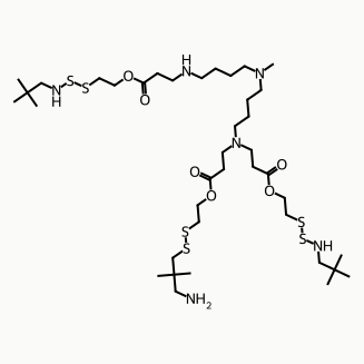 CN(CCCCNCCC(=O)OCCSSNCC(C)(C)C)CCCCN(CCC(=O)OCCSSCC(C)(C)CN)CCC(=O)OCCSSNCC(C)(C)C